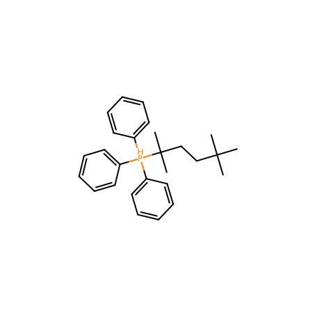 CC(C)(C)CCC(C)(C)[PH](c1ccccc1)(c1ccccc1)c1ccccc1